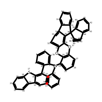 c1ccc(N(c2ccccc2-c2cccc3c2sc2ccccc23)c2cccc3c2Oc2ccc4c(c2O3)C2(c3ccccc3-c3ccccc32)c2ccccc2-4)cc1